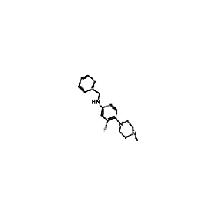 CN1CCN(c2ccc(NCc3ccccc3)cc2F)CC1